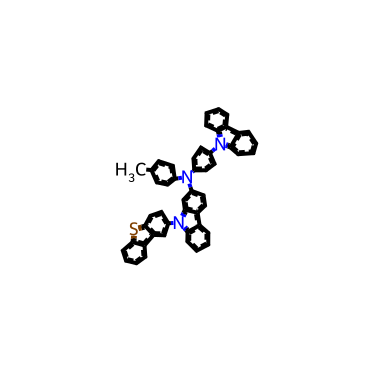 Cc1ccc(N(c2ccc(-n3c4ccccc4c4ccccc43)cc2)c2ccc3c4ccccc4n(-c4ccc5sc6ccccc6c5c4)c3c2)cc1